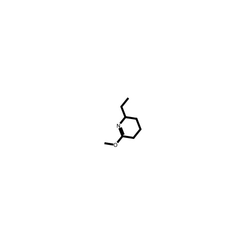 CCC1CCCC(OC)=N1